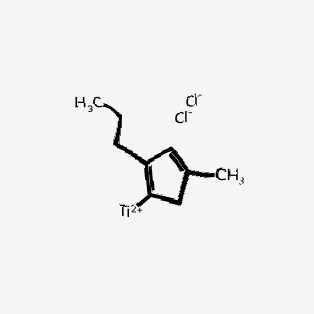 CCCC1=[C]([Ti+2])CC(C)=C1.[Cl-].[Cl-]